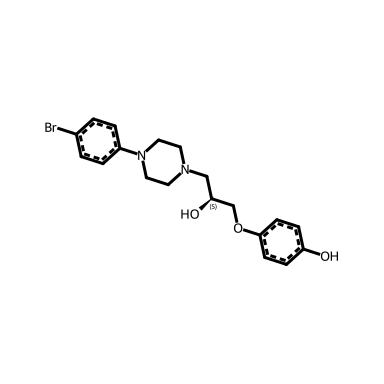 Oc1ccc(OC[C@@H](O)CN2CCN(c3ccc(Br)cc3)CC2)cc1